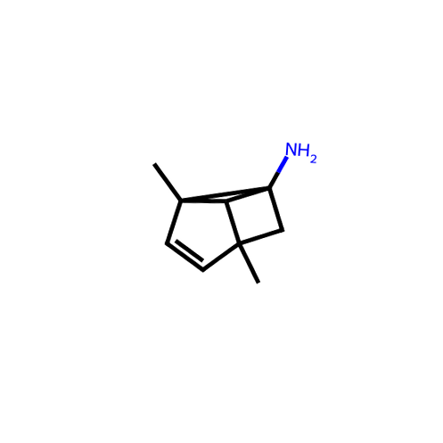 CC12C=CC3(C)C1C3(N)C2